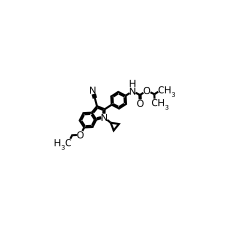 CCOc1ccc2c(C#N)c(-c3ccc(NC(=O)OC(C)C)cc3)n(C3CC3)c2c1